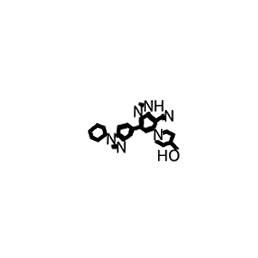 N#Cc1c(N2CCC(CO)CC2)cc(-c2ccc3c(c2)ncn3C2CCCCC2)c2nc[nH]c12